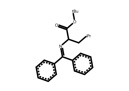 CC(C)CC(N=C(c1ccccc1)c1ccccc1)C(=O)OC(C)(C)C